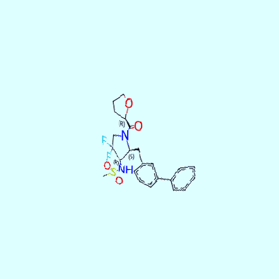 CS(=O)(=O)N[C@@H]1[C@H](Cc2cccc(-c3ccccc3)c2)N(C(=O)[C@H]2CCCO2)CC1(F)F